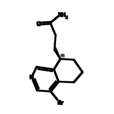 NC(=O)CC[C@H]1CCCc2c(Br)cncc21